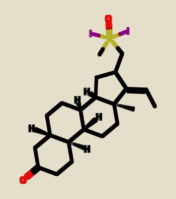 C/C=C1/C(CS(C)(=O)(I)I)C[C@H]2[C@@H]3CC[C@H]4CC(=O)CC[C@@H]4[C@H]3CC[C@]12C